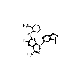 NC(=O)c1cc(F)c(NC2CCCCC2N)nc1Nc1ccc2cn[nH]c2c1